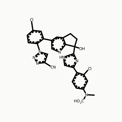 CN(C(=O)O)c1ccc(-c2c[nH]c(C3(O)CCc4cc(-c5cc(Cl)ccc5-n5cc(C#N)nn5)cnc43)n2)c(Cl)c1